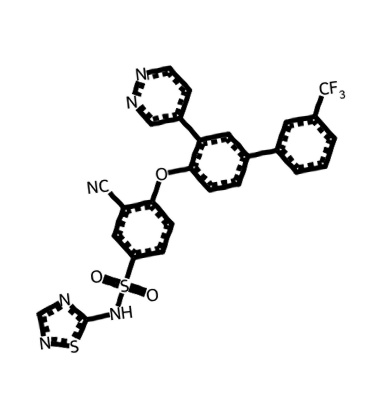 N#Cc1cc(S(=O)(=O)Nc2ncns2)ccc1Oc1ccc(-c2cccc(C(F)(F)F)c2)cc1-c1ccnnc1